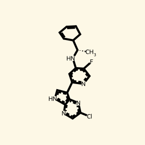 C[C@H](Nc1cc(-c2c[nH]c3ncc(Cl)nc23)ncc1F)C1C=CC=CC1